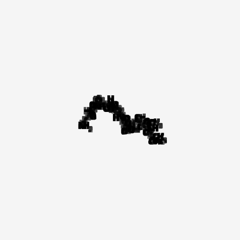 CC(=O)OC(C)C=CC(=O)N[C@@H]1C[C@H](C)[C@H](CC=C(C)C=C[C@H]2O[C@H](CC(=O)NCc3ccc(S(=O)(=O)NC(=O)CCc4ccccc4NC(=O)CNC(=O)CCCCCN)cc3)C[C@@]3(CO3)[C@@H]2O)O[C@@H]1C